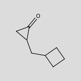 O=C1CC1CC1CCC1